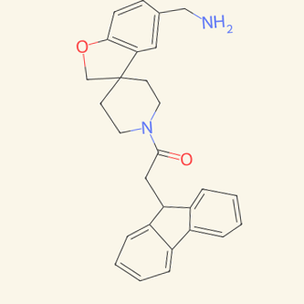 NCc1ccc2c(c1)C1(CCN(C(=O)CC3c4ccccc4-c4ccccc43)CC1)CO2